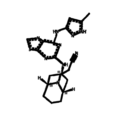 Cc1cc(Nc2nc(N[C@@H]3C[C@H]4CCC[C@@H](C3)N4CCC#N)nc3scnc23)n[nH]1